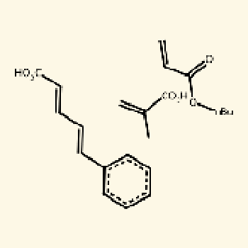 C=C(C)C(=O)O.C=CC(=O)OCCCC.O=C(O)C=CC=Cc1ccccc1